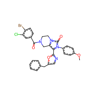 COc1ccc(-n2c(-c3ncc(Cc4ccccc4)o3)c3n(c2=O)CCN(C(=O)c2ccc(Br)c(Cl)c2)C3)cc1